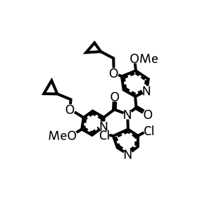 COc1cnc(C(=O)N(C(=O)c2cc(OCC3CC3)c(OC)cn2)c2c(Cl)cncc2Cl)cc1OCC1CC1